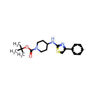 CC(C)(C)OC(=O)N1CCC(Nc2nc(-c3cc[c]cc3)cs2)CC1